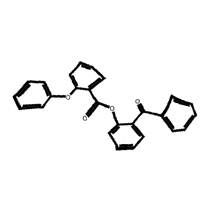 O=C(Oc1ccccc1C(=O)c1ccccc1)c1ccccc1Oc1ccccc1